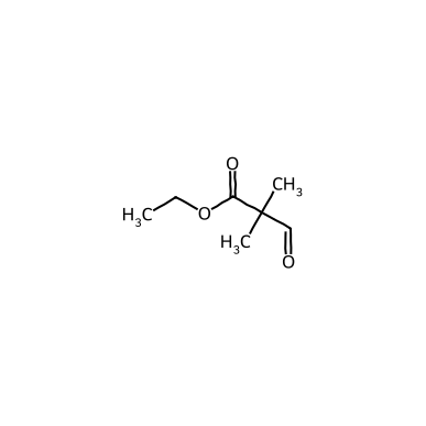 CCOC(=O)C(C)(C)C=O